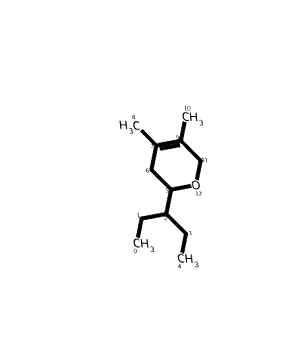 CCC(CC)C1CC(C)=C(C)CO1